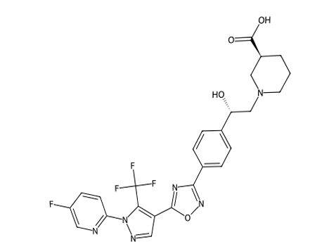 O=C(O)[C@H]1CCCN(C[C@@H](O)c2ccc(-c3noc(-c4cnn(-c5ccc(F)cn5)c4C(F)(F)F)n3)cc2)C1